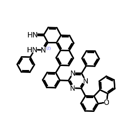 N=C1C=Cc2ccc3ccc(-c4ccccc4-c4nc(-c5ccccc5)nc(-c5cccc6oc7ccccc7c56)n4)cc3c2/C1=N/Nc1ccccc1